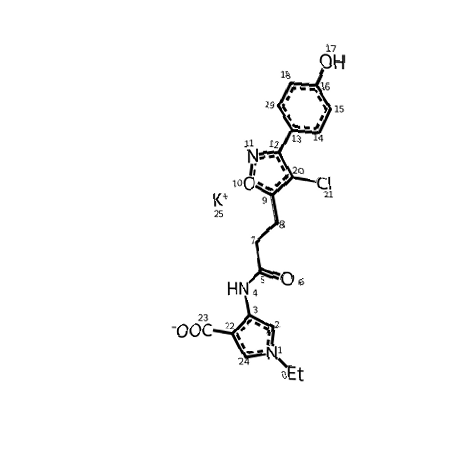 CCn1cc(NC(=O)CCc2onc(-c3ccc(O)cc3)c2Cl)c(C(=O)[O-])c1.[K+]